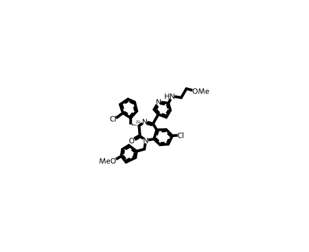 COCCNc1ccc(C2=N[C@@H](Cc3ccccc3Cl)C(=O)N(Cc3ccc(OC)cc3)c3ccc(Cl)cc32)cn1